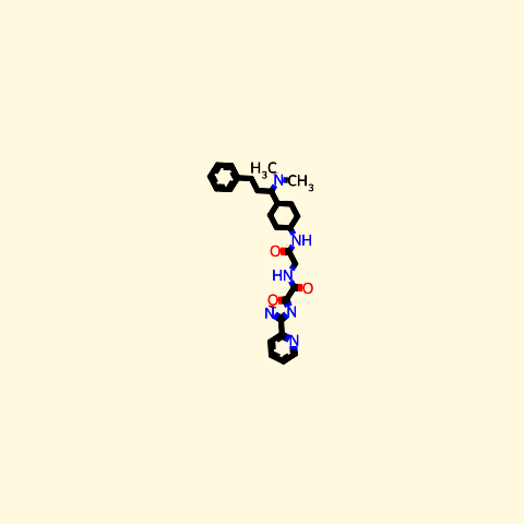 CN(C)C(CCc1ccccc1)C1CCC(NC(=O)CNC(=O)c2nc(-c3ccccn3)no2)CC1